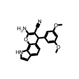 COc1cc(OC)cc(C2C(C#N)=C(N)Oc3c2ccc2cc[nH]c32)c1